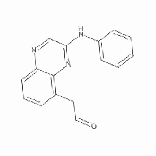 O=CCc1cccc2ncc(Nc3ccccc3)nc12